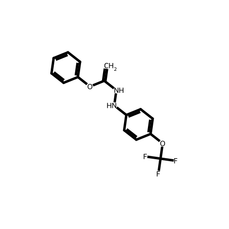 C=C(NNc1ccc(OC(F)(F)F)cc1)Oc1ccccc1